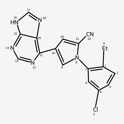 CCc1ccc(Cl)cc1-n1cc(-c2ncnc3[nH]cnc23)cc1C#N